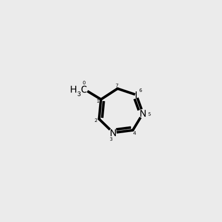 CC1=CN=CN=IC1